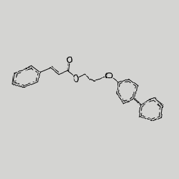 O=C(C=Cc1ccccc1)OCCOc1ccc(-c2ccccc2)cc1